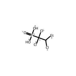 CCC(Cl)C(Cl)(Cl)P(=O)(O)O